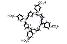 O=C(O)c1ccc(/C2=C3\C=CC(=N3)/C(c3ccc(C(=O)O)cc3)=c3/cc/c([nH]3)=C(\c3ccc(C(=O)O)cc3)C3=NC(C=C3)C(c3ccc(C(=O)O)cc3)c3ccc2[nH]3)cc1